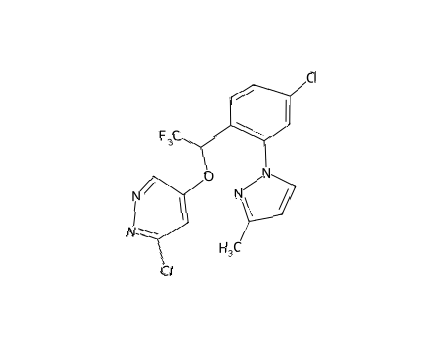 Cc1ccn(-c2cc(Cl)ccc2C(Oc2cnnc(Cl)c2)C(F)(F)F)n1